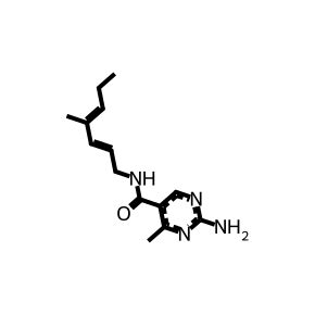 CCC=C(C)C=CCNC(=O)c1cnc(N)nc1C